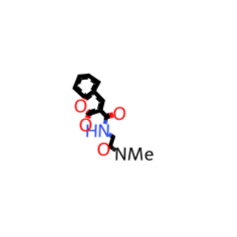 CNC(=O)CNC(=O)c1cc2ccccc2oc1=O